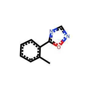 Cc1ccccc1-c1ncno1